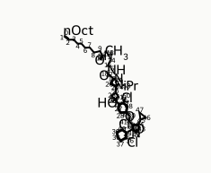 CCCCCCCC/C=C\CCCCCCCC(=O)N(C)CCNC(=O)c1cc(C2CC(O)(c3ccc(OCc4c(-c5c(Cl)cccc5Cl)noc4C4CC4)cc3Cl)C2)n(C(C)C)n1